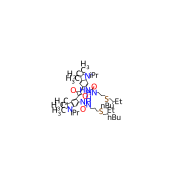 CCCCC(CC)CSCCCNC(=O)Nc1cc2c(cc1C1=C([O-])/C(=c3/cc4c(cc3NC(=O)NCCCSCC(CC)CCCC)=[N+](C(C)C)C(C)C4(C)C)C1=O)C(C)(C)C(C)N2C(C)C